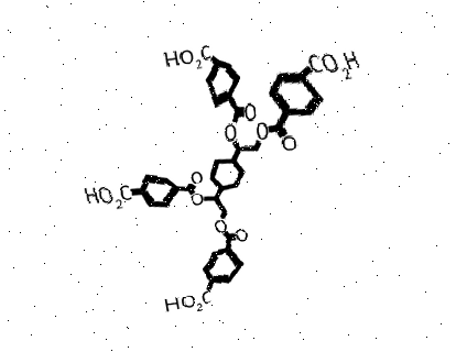 O=C(O)c1ccc(C(=O)OCC(OC(=O)c2ccc(C(=O)O)cc2)C2CCC(C(COC(=O)c3ccc(C(=O)O)cc3)OC(=O)c3ccc(C(=O)O)cc3)CC2)cc1